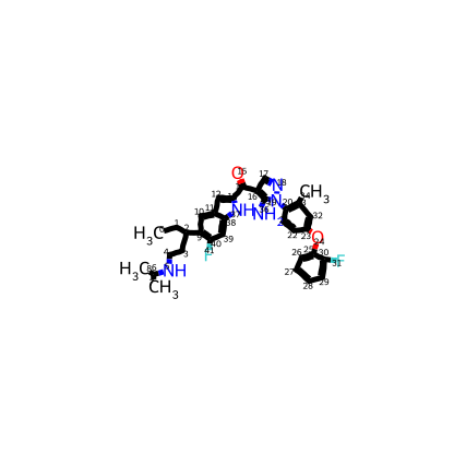 CCC(CCNC(C)C)c1cc2cc(C(=O)c3cnn(-c4ccc(Oc5ccccc5F)cc4C)c3N)[nH]c2cc1F